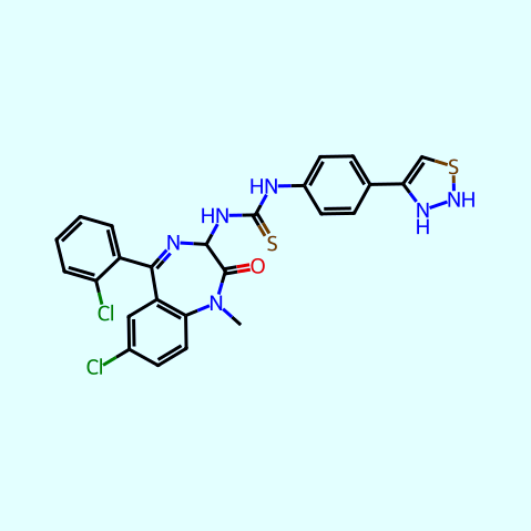 CN1C(=O)C(NC(=S)Nc2ccc(C3=CSNN3)cc2)N=C(c2ccccc2Cl)c2cc(Cl)ccc21